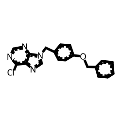 Clc1ncnc2c1ncn2Cc1ccc(OCc2ccccc2)cc1